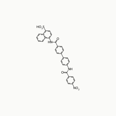 O=C(Nc1ccc(-c2ccc(C(=O)Nc3ccc(S(=O)(=O)O)c4ccccc34)cc2)cc1)c1ccc([N+](=O)[O-])cc1